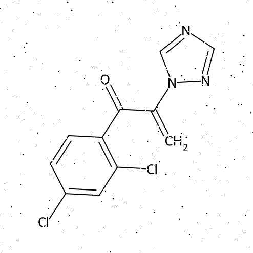 C=C(C(=O)c1ccc(Cl)cc1Cl)n1cncn1